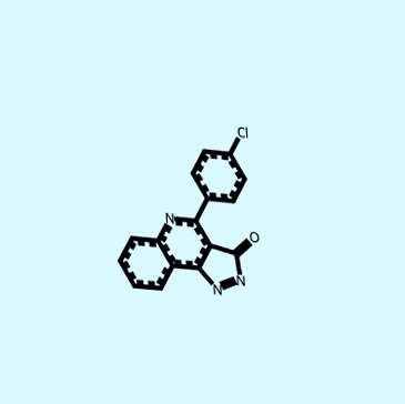 O=C1N=Nc2c1c(-c1ccc(Cl)cc1)nc1ccccc21